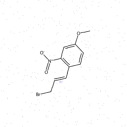 COc1ccc(/C=C/CBr)c([N+](=O)[O-])c1